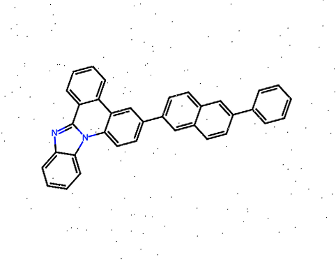 c1ccc(-c2ccc3cc(-c4ccc5c(c4)c4ccccc4c4nc6ccccc6n54)ccc3c2)cc1